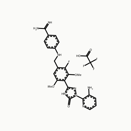 COc1cc(CNc2ccc(C(=N)N)cc2)c(F)c(OC)c1-c1nn(-c2ncccc2N)c(=O)[nH]1.O=C(O)C(F)(F)F